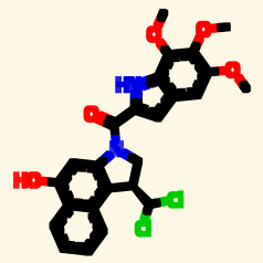 COc1cc2cc(C(=O)N3C[C@@H](C(Cl)Cl)c4c3cc(O)c3ccccc43)[nH]c2c(OC)c1OC